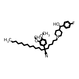 CCCCCCCCCCCCC(C#N)(CCCCCN1CCC(C(O)c2ccc(F)cc2)CC1)c1ccc(OC)c(OC)c1